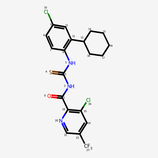 O=C(NC(=S)Nc1ccc(Cl)cc1C1CCCCC1)c1ncc(C(F)(F)F)cc1Cl